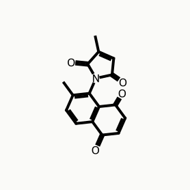 CC1=CC(=O)N(c2c(C)ccc3c2C(=O)C=CC3=O)C1=O